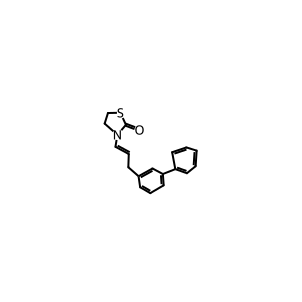 O=C1SCCN1C=CCc1cccc(-c2ccccc2)c1